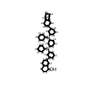 OC1CCCc2ccc(-c3cccc(N(c4ccccc4)c4cccc(N(c5ccccc5)c5cccc(-c6ccc7c8ccc(o8)c7c6)c5)c4)c3)cc21